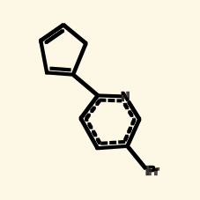 CC(C)c1ccc(C2=CC=CC2)nc1